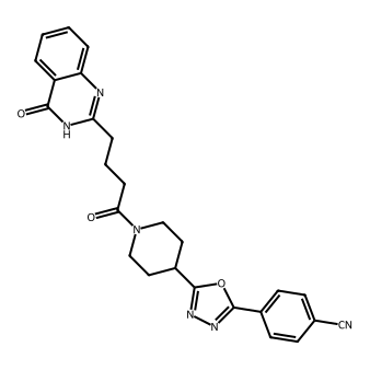 N#Cc1ccc(-c2nnc(C3CCN(C(=O)CCCc4nc5ccccc5c(=O)[nH]4)CC3)o2)cc1